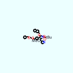 COC(c1cccnc1)C1CN(OC(=O)C(C)(C)C)CC(OCc2ccc3ccccc3c2)C1c1ccc(COCCOCc2ccccc2)cc1